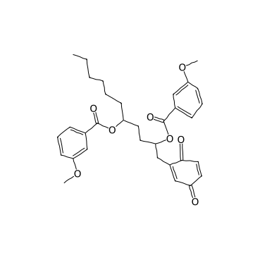 CCCCCCC(CCC(CC1=CC(=O)C=CC1=O)OC(=O)c1cccc(OC)c1)OC(=O)c1cccc(OC)c1